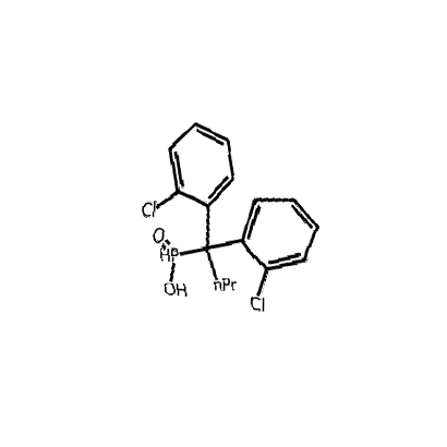 CCCC(c1ccccc1Cl)(c1ccccc1Cl)[PH](=O)O